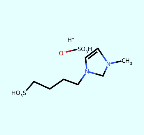 CN1C=CN(CCCCS(=O)(=O)O)C1.O=S(=O)([O-])O.[H+]